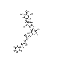 COC(=O)[C@H](Cc1cc(I)c(Oc2cc(I)c(O)c(I)c2)c(I)c1)NC(=O)CNC(=O)CNC(=O)OCc1ccccc1